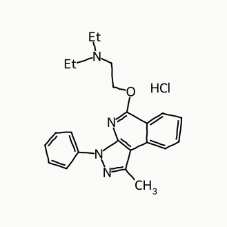 CCN(CC)CCOc1nc2c(c(C)nn2-c2ccccc2)c2ccccc12.Cl